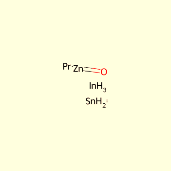 [InH3].[O]=[Zn].[Pr].[SnH2]